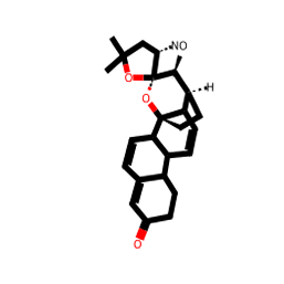 C[C@H]1[C@H]2CC[C@]3(O[C@@]14OC(C)(C)C[C@@H]4N=O)C1C=CC4=CC(=O)CCC4C1C=CC23